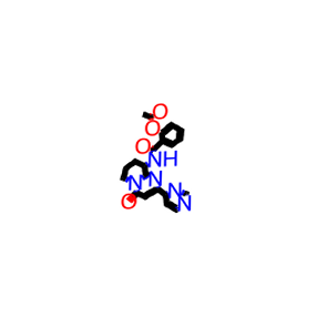 CC(=O)Oc1ccccc1C(=O)NC1CCCn2c1nc(-c1ccncn1)cc2=O